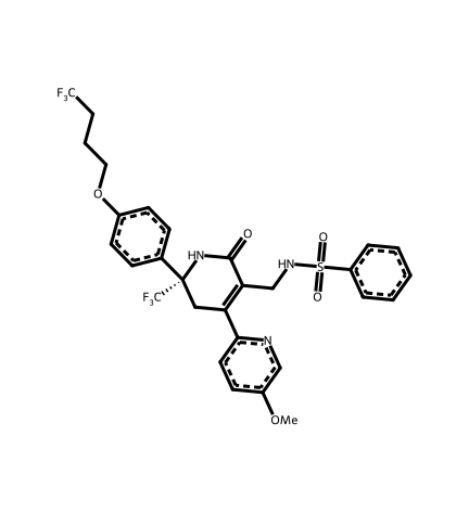 COc1ccc(C2=C(CNS(=O)(=O)c3ccccc3)C(=O)N[C@@](c3ccc(OCCCC(F)(F)F)cc3)(C(F)(F)F)C2)nc1